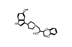 COc1ccc2[nH]cc(C3CCN(CC(O)C4COc5ccccc5O4)CC3)c2c1